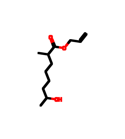 C=CCOC(=O)C(C)CCCCC(C)O